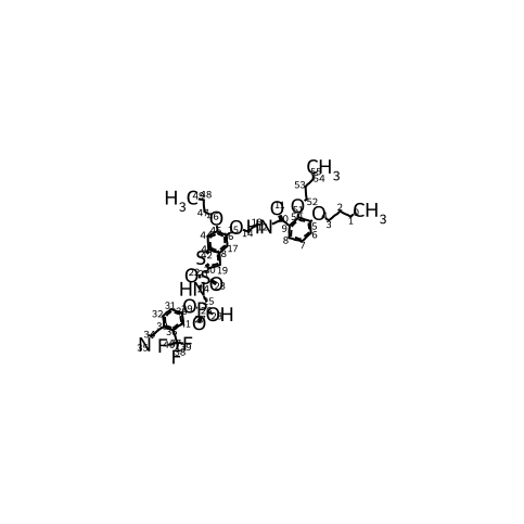 CCCCOc1cccc(C(=O)NCCOc2cc3cc(S(=O)(=O)NCP(=O)(O)Oc4ccc(C#N)c(C(F)(F)F)c4)sc3cc2OCCC)c1OCCCC